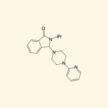 CC(C)N1C(=O)c2ccccc2C1N1CCN(c2ccccn2)CC1